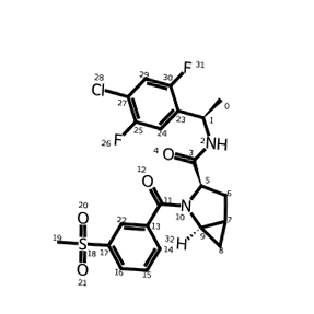 C[C@@H](NC(=O)[C@H]1CC2C[C@H]2N1C(=O)c1cccc(S(C)(=O)=O)c1)c1cc(F)c(Cl)cc1F